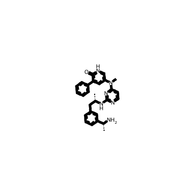 C[C@@H](Cc1cccc([C@@H](C)N)c1)Nc1nccc(N(C)c2c[nH]c(=O)c(-c3ccccc3)c2)n1